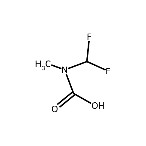 CN(C(=O)O)C(F)F